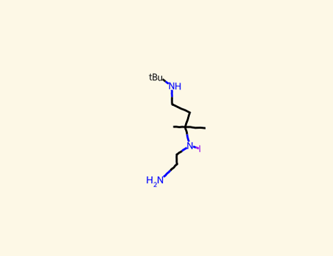 CC(C)(C)NCCC(C)(C)N(I)CCN